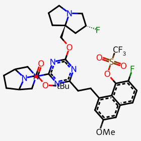 COc1cc(CCc2nc(OC[C@@]34CCCN3C[C@H](F)C4)nc(N3CC4CCC(C3)N4C(=O)OC(C)(C)C)n2)c2c(OS(=O)(=O)C(F)(F)F)c(F)ccc2c1